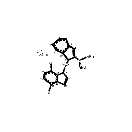 CCCCP(CCCC)C1=Cc2ccccc2[CH]1[Ti+2][CH]1C=Cc2c(C)ccc(C)c21.[Cl-].[Cl-]